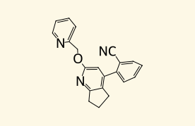 N#Cc1ccccc1-c1cc(OCc2ccccn2)nc2c1CCC2